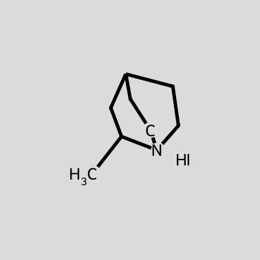 CC1CC2CCN1CC2.I